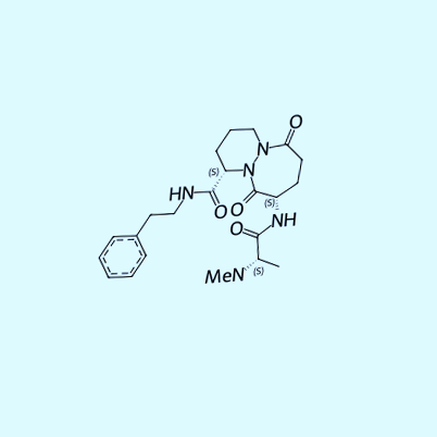 CN[C@@H](C)C(=O)N[C@H]1CCC(=O)N2CCC[C@@H](C(=O)NCCc3ccccc3)N2C1=O